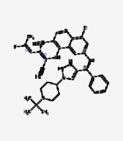 C#C/C(Nc1c(C#N)cnc2c(Cl)cc(N[C@H](C3=CN(C4CCN(C(C)(C)C)CC4)NN3)c3ccccc3)cc12)=C(F)\C=C(/C)F